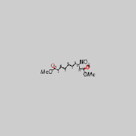 COC(=O)CCCCCCC(CC(=O)OC)[N+](=O)[O-]